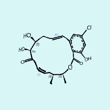 C[C@@H]1OC(=O)c2c(O)cc(Cl)cc2/C=C/C[C@H](O)[C@H](O)C(=O)/C=C\[C@@H]1C